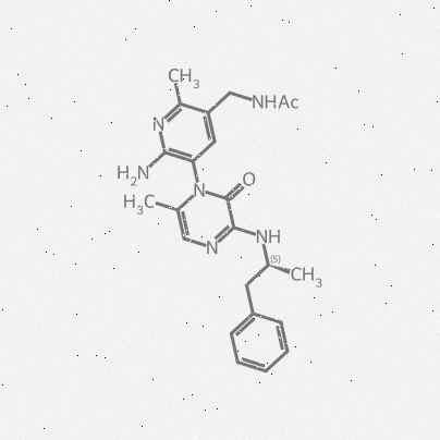 CC(=O)NCc1cc(-n2c(C)cnc(N[C@@H](C)Cc3ccccc3)c2=O)c(N)nc1C